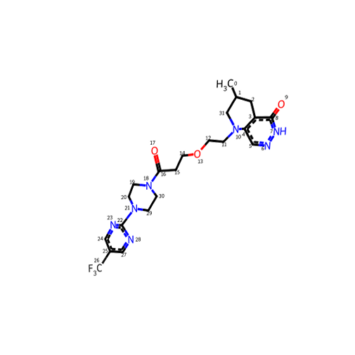 CC1Cc2c(cn[nH]c2=O)N(CCOCCC(=O)N2CCN(c3ncc(C(F)(F)F)cn3)CC2)C1